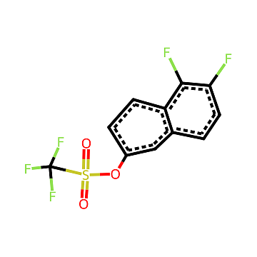 O=S(=O)(Oc1ccc2c(F)c(F)ccc2c1)C(F)(F)F